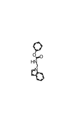 O=C(NCn1ccc2ccccc21)Oc1ccccc1